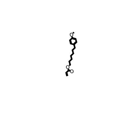 C=CC(=O)OCCCCCCCc1ccc(OC)cc1